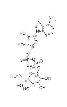 Nc1ncnc2c1ncn2[C@@H]1O[C@H](COP(O)(=S)OP(=O)(O)O[C@@H]2OC([C@H](O)CO)[C@@H](O)C(O)C2O)C(O)C1O